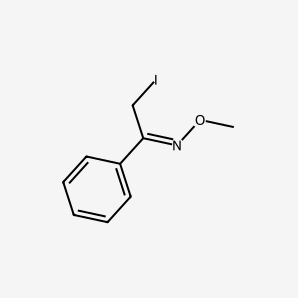 CO/N=C(\CI)c1ccccc1